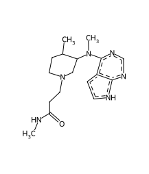 CNC(=O)CCN1CCC(C)C(N(C)c2ncnc3[nH]ccc23)C1